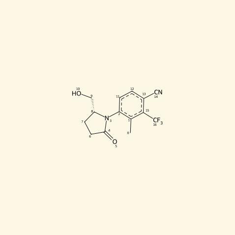 Cc1c(N2C(=O)CC[C@@H]2CO)ccc(C#N)c1C(F)(F)F